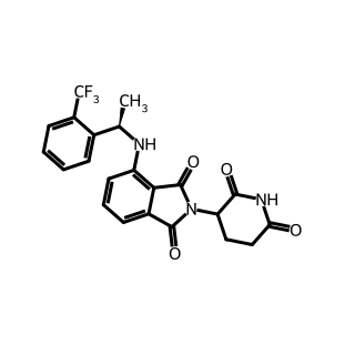 C[C@@H](Nc1cccc2c1C(=O)N(C1CCC(=O)NC1=O)C2=O)c1ccccc1C(F)(F)F